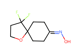 ON=C1CCC2(CC1)OCCC2(F)F